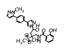 Cn1nccc1-c1ccc(-c2cnn(C(O)CC(C)(CNC(=O)c3ccccc3O)S(C)(=O)=O)c2)cc1